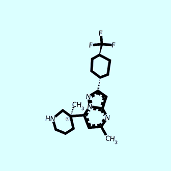 Cc1cc([C@@]2(C)CCCNC2)n2nc([C@H]3CC[C@H](C(F)(F)F)CC3)cc2n1